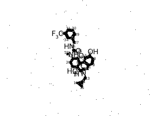 Cc1ccc(O)c2c1[C@]13CC4[C@@H](N4CC4CC4)[C@]1(O)CC[C@@H](N(C)C(=O)NCc1cccc(C(F)(F)F)c1)[C@@H]3O2